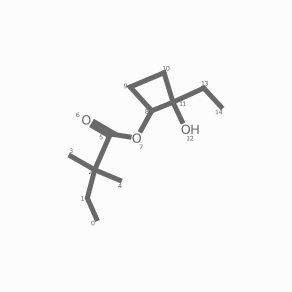 CCC(C)(C)C(=O)OC1CCC1(O)CC